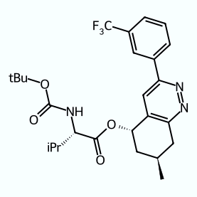 CC(C)[C@H](NC(=O)OC(C)(C)C)C(=O)O[C@H]1C[C@H](C)Cc2nnc(-c3cccc(C(F)(F)F)c3)cc21